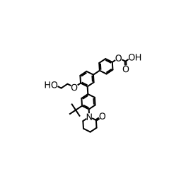 CC(C)(C)c1cc(-c2cc(-c3ccc(OC(=O)O)cc3)ccc2OCCO)ccc1N1CCCCC1=O